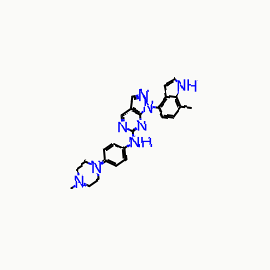 Cc1ccc(-n2ncc3cnc(Nc4ccc(N5CCN(C)CC5)cc4)nc32)c2cc[nH]c12